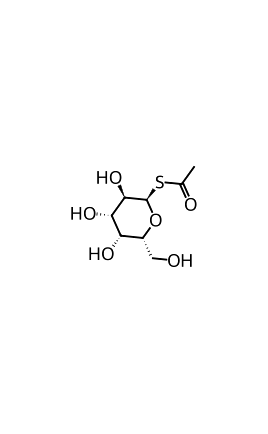 CC(=O)S[C@H]1O[C@H](CO)[C@H](O)[C@H](O)[C@H]1O